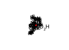 COc1cccc(-c2ncc3snc(O[C@H](Cc4ccccc4OCc4ccnc(N5CCC(OC(F)F)CC5)n4)C(=O)O)c3c2-c2ccc(OCCN3CCN(C)CC3)c(Cl)c2C)c1